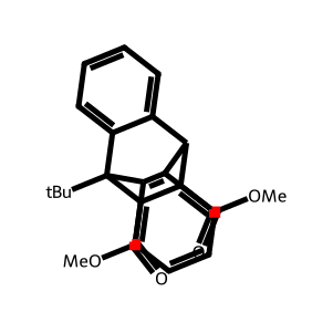 COC(=O)C1=C(C(=O)OC)C2(C(C)(C)C)c3ccccc3C1c1ccccc12